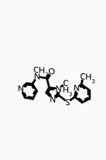 Cc1cccc(Sc2ncc(C(=O)N(C)c3cccnc3)n2C)n1